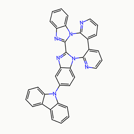 c1ccc2c(c1)nc1c3nc4cc(-n5c6ccccc6c6ccccc65)ccc4n3c3ncccc3c3cccnc3n21